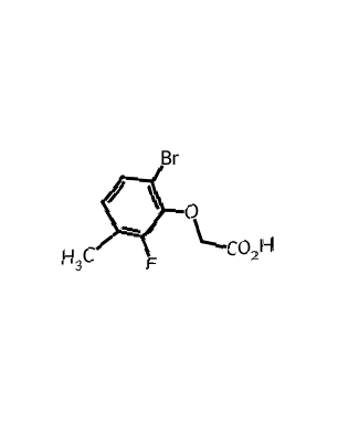 Cc1ccc(Br)c(OCC(=O)O)c1F